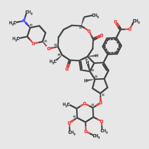 CC[C@H]1CCC[C@H](O[C@H]2CC[C@H](N(C)C)C(C)O2)[C@@H](C)C(=O)C2=C[C@@H]3C(C(c4ccc(C(=O)OC)cc4)=CC4C[C@@H](O[C@@H]5OC(C)[C@H](OC)C(OC)C5OC)C[C@H]43)[C@@H]2CC(=O)O1